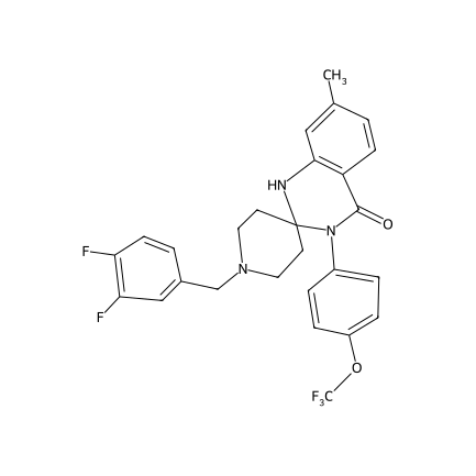 Cc1ccc2c(c1)NC1(CCN(Cc3ccc(F)c(F)c3)CC1)N(c1ccc(OC(F)(F)F)cc1)C2=O